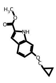 COC(=O)c1cc2ccc(OCC3CC3)cc2[nH]1